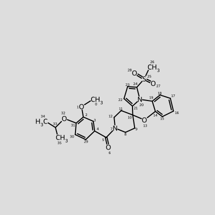 COc1cc(C(=O)N2CCC3(CC2)Oc2ccccc2-n2c3ccc2S(C)(=O)=O)ccc1OC(C)C